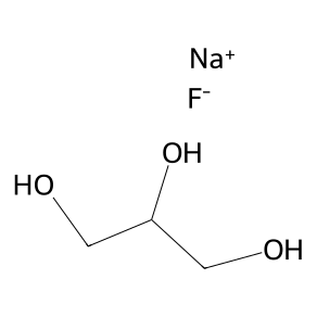 OCC(O)CO.[F-].[Na+]